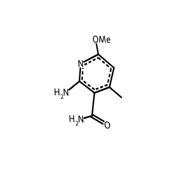 COc1cc(C)c(C(N)=O)c(N)n1